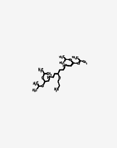 CC(C)OC(CPCCC(CCPCC(OC(C)C)OC(C)C)OCCN)OC(C)C